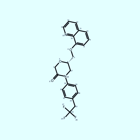 O=C1CO[C@H](COc2cccc3cccnc23)CN1c1ccc(CC(F)(F)F)cc1